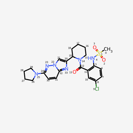 CS(=O)(=O)Nc1ccc(Cl)cc1C(=O)N1CCCCC1c1cn2nc(N3CCCC3)ccc2n1